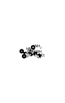 CCc1cc([C@@H]2O[C@@H](n3cnc4c(NCC(c5ccccc5)c5ccccc5)nc(NC5CCC(N)CC5)nc43)[C@H](O)[C@H]2O)on1